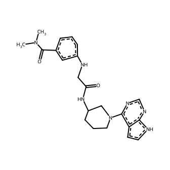 CN(C)C(=O)c1cccc(NCC(=O)NC2CCCN(c3ncnc4[nH]ccc34)C2)c1